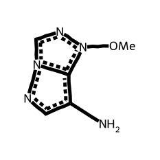 COn1ncn2ncc(N)c12